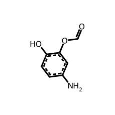 Nc1ccc(O)c(OC=O)c1